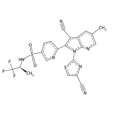 Cc1cnc2c(c1)c(C#N)c(-c1ccc(S(=O)(=O)N[C@@H](C)C(F)(F)F)cn1)n2-c1nc(C#N)cs1